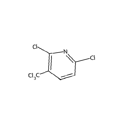 Clc1ccc(C(Cl)(Cl)Cl)c(Cl)n1